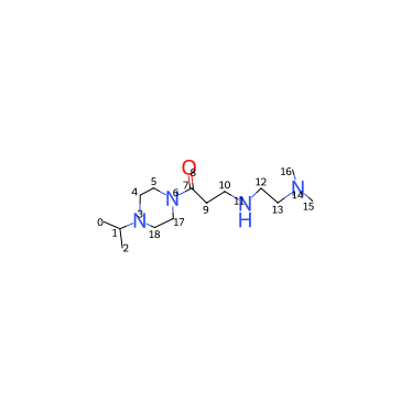 CC(C)N1CCN(C(=O)CCNCCN(C)C)CC1